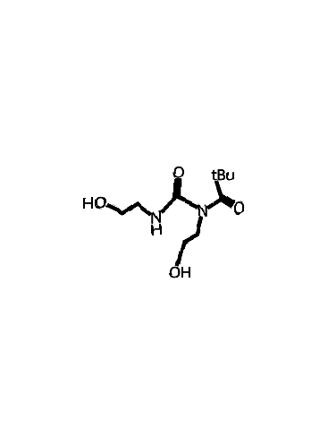 CC(C)(C)C(=O)N(CCO)C(=O)NCCO